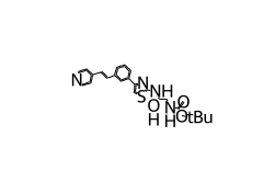 CC(C)(C)OC(=O)NCC(O)Nc1nc(-c2cccc(/C=C/c3ccncc3)c2)cs1